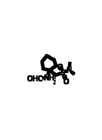 C[C@H](C1(NC=O)CCCCC1)S(=O)(=O)N(C)C